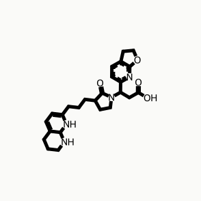 O=C(O)CC(c1ccc2c(n1)OCC2)N1CCC(CCCC2=CC=C3CCCNC3N2)C1=O